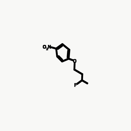 CC(F)CCOc1ccc([N+](=O)[O-])cc1